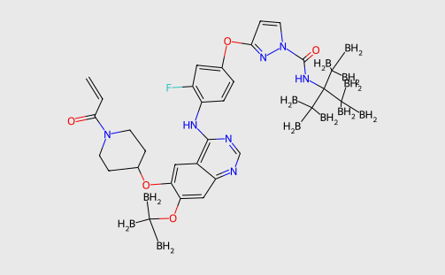 BC(B)(B)Oc1cc2ncnc(Nc3ccc(Oc4ccn(C(=O)NC(C(B)(B)B)(C(B)(B)B)C(B)(B)B)n4)cc3F)c2cc1OC1CCN(C(=O)C=C)CC1